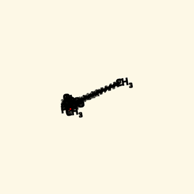 CCCCCCCCCCCCCCCCCCCC(=O)Oc1ccc2c3c1O[C@H]1C(=O)CC[C@H]4[C@@H](C2)N(C)CC[C@]314